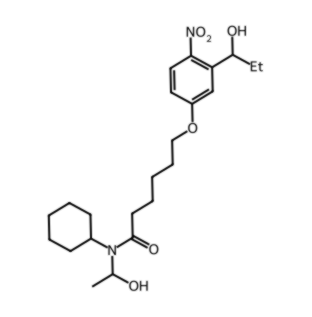 CCC(O)c1cc(OCCCCCC(=O)N(C(C)O)C2CCCCC2)ccc1[N+](=O)[O-]